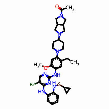 CCc1cc(Nc2ncc(Br)c(Nc3ccccc3NSC3CC3)n2)c(OC)cc1N1CCC(N2CC3CN(C(C)=O)CC3C2)CC1